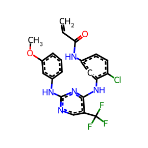 C=CC(=O)Nc1ccc(Cl)c(Nc2nc(Nc3cccc(OC)c3)ncc2C(F)(F)F)c1